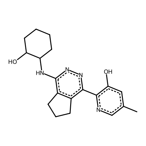 Cc1cnc(-c2nnc(NC3CCCCC3O)c3c2CCC3)c(O)c1